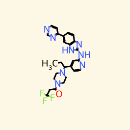 CCC(c1ccnc(Nc2nc3ccc(-c4ccncn4)cc3[nH]2)c1)N1CCN(C(=O)CC(F)(F)F)CC1